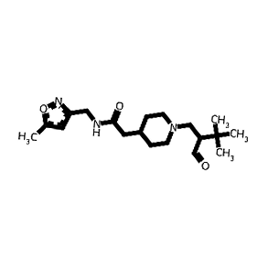 Cc1cc(CNC(=O)CC2CCN(CC(C=O)C(C)(C)C)CC2)no1